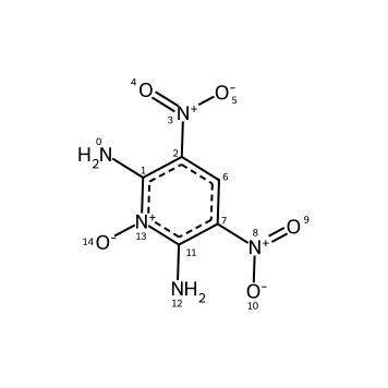 Nc1c([N+](=O)[O-])cc([N+](=O)[O-])c(N)[n+]1[O-]